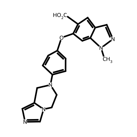 Cn1ncc2cc(C(=O)O)c(Oc3ccc(N4CCn5cncc5C4)cc3)cc21